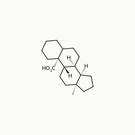 C[C@@]12CCC[C@@H]1[C@@H]1CCC3CCCC[C@]3(C(=O)O)[C@H]1CC2